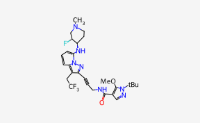 COc1c(C(=O)NCC#Cc2nn3c(N[C@@H]4CCN(C)C[C@@H]4F)cccc3c2CC(F)(F)F)cnn1C(C)(C)C